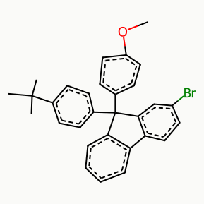 COc1ccc(C2(c3ccc(C(C)(C)C)cc3)c3ccccc3-c3ccc(Br)cc32)cc1